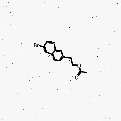 CC(=O)OCCc1ccc2cc(Br)ccc2c1